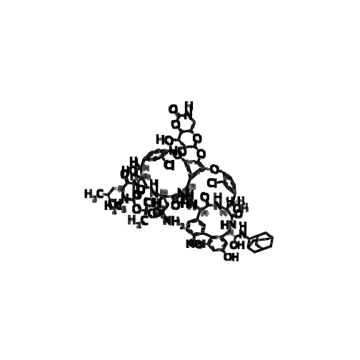 CC(C)C[C@H](C(=O)N[C@H]1C(=O)N[C@@H](CC(N)=O)C(=O)N[C@H]2C(=O)N[C@H]3C(=O)N[C@@H](C(=O)N[C@H](C(O)NC4C5CC6CC(C5)CC4C6)c4cc(O)cc(O)c4-c4cc3ccc4O)[C@H](O)c3ccc(c(Cl)c3)Oc3cc2cc(c3OC2OC3CNC(=O)OC3C(O)C2O)Oc2ccc(cc2Cl)[C@H]1O)N(C)C(=O)OC(C)(C)C